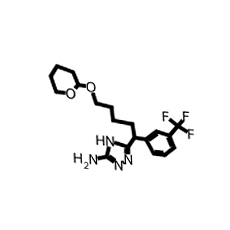 Nc1nnc(C(CCCCOC2CCCCO2)c2cccc(C(F)(F)F)c2)[nH]1